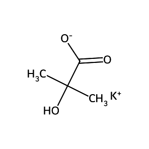 CC(C)(O)C(=O)[O-].[K+]